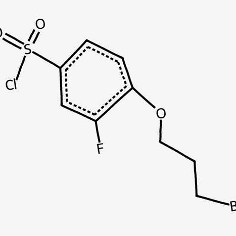 O=S(=O)(Cl)c1ccc(OCCCBr)c(F)c1